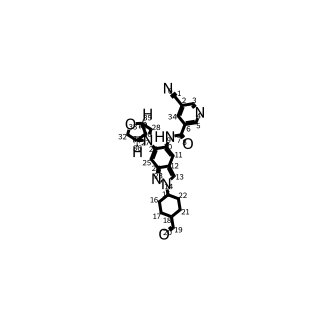 N#Cc1cncc(C(=O)Nc2cc3cn(C4CCC(C=O)CC4)nc3cc2N2C[C@H]3C[C@@H]2CO3)c1